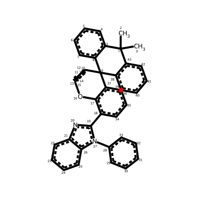 CC1(C)c2ccccc2C2(c3ccccc3Oc3c(-c4nc5ccccc5n4-c4ccccc4)cccc32)c2ccccc21